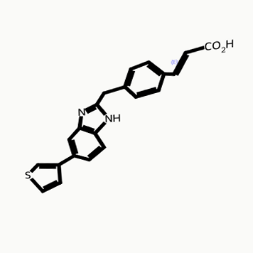 O=C(O)/C=C/c1ccc(Cc2nc3cc(-c4ccsc4)ccc3[nH]2)cc1